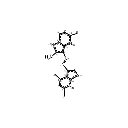 Cc1cc(C)c2c(N=Nc3c(N)nn4ccc(C)nc34)csc2n1